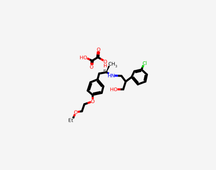 CCOCCOc1ccc(C[C@@H](C)NCC(CO)c2cccc(Cl)c2)cc1.O=C(O)C(=O)O